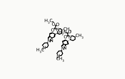 CCOC(=O)C(=O)N1C[C@H](C)CC[C@H]1c1ccc2cn(C3CCN(C)CC3)nc2c1.C[C@H]1CC[C@H](c2ccc3cn(C4CCN(C)CC4)nc3c2)N(C(=O)C(N)=O)C1